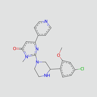 COc1cc(Cl)ccc1C1CN(c2nc(-c3ccncc3)cc(=O)n2C)CCN1